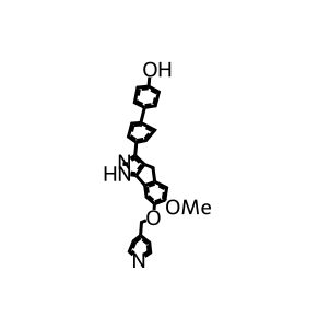 COc1cc2c(cc1OCc1ccncc1)-c1[nH]nc(-c3ccc(-c4ccc(O)cc4)cc3)c1C2